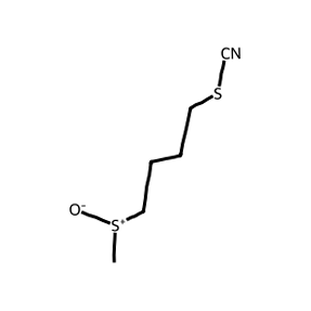 C[S+]([O-])CCCCSC#N